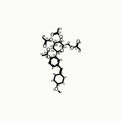 COC1CCC(=Cc2cccc([C@@H]3O[C@H](COC(C)=O)[C@@H](OC(C)=O)[C@H](OC(C)=O)[C@H]3OC(C)=O)c2)CC1